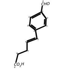 O=Cc1ccc(/C=C/CCC(=O)O)cc1